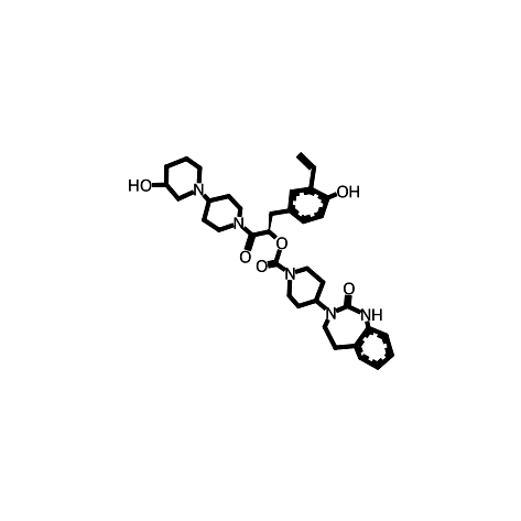 C=Cc1cc(C[C@@H](OC(=O)N2CCC(N3CCc4ccccc4NC3=O)CC2)C(=O)N2CCC(N3CCCC(O)C3)CC2)ccc1O